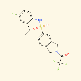 CCc1cc(F)ccc1NS(=O)(=O)c1ccc2c(c1)CN(C(=O)C(F)(F)F)C2